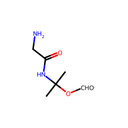 CC(C)(NC(=O)CN)O[C]=O